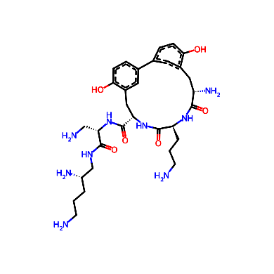 NCCC[C@H](N)CNC(=O)[C@H](CN)NC(=O)[C@@H]1Cc2cc(ccc2O)-c2ccc(O)c(c2)C[C@H](N)C(=O)N[C@@H](CCCN)C(=O)N1